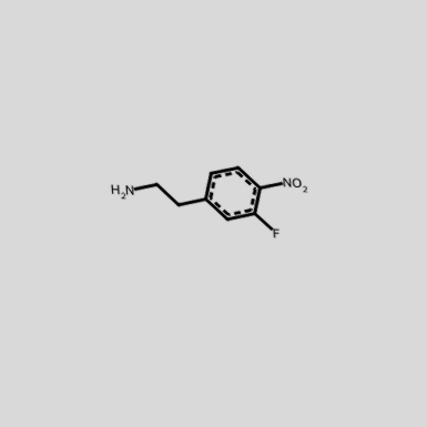 NCCc1ccc([N+](=O)[O-])c(F)c1